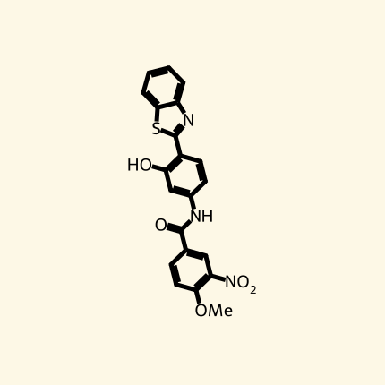 COc1ccc(C(=O)Nc2ccc(-c3nc4ccccc4s3)c(O)c2)cc1[N+](=O)[O-]